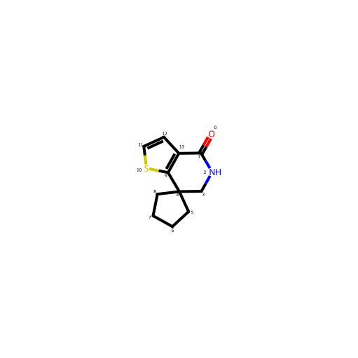 O=C1NCC2(CCCC2)c2sccc21